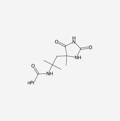 CCCC(=O)NC(C)(C)CC1(C)NC(=O)NC1=O